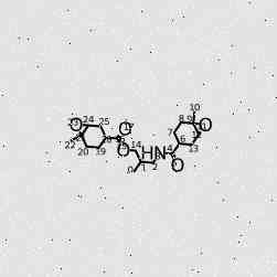 CC(CNC(=O)C1CCC2(C)OC2C1)COC(=O)C1CCC2(C)OC2C1